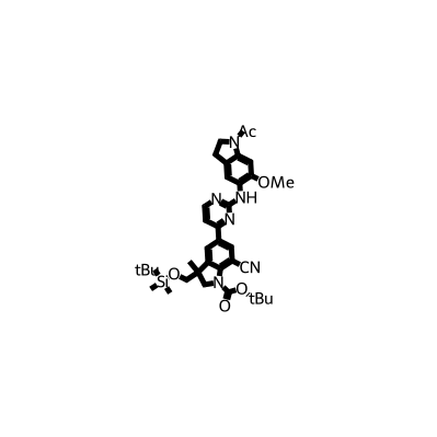 COc1cc2c(cc1Nc1nccc(-c3cc(C#N)c4c(c3)C(C)(CO[Si](C)(C)C(C)(C)C)CN4C(=O)OC(C)(C)C)n1)CCN2C(C)=O